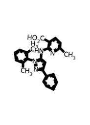 Cc1ccc(C(=O)O)c(Nc2cc(-c3ccccc3)nn2-c2c(C)cccc2C)n1